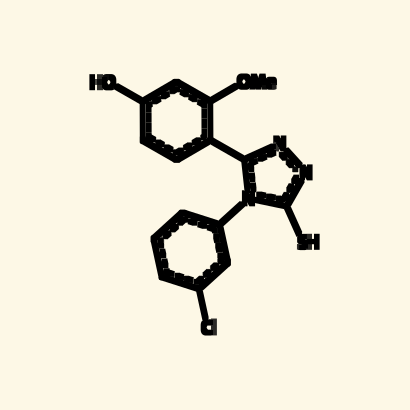 COc1cc(O)ccc1-c1nnc(S)n1-c1cccc(Cl)c1